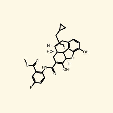 COC(=O)c1cc(F)ccc1NC(=O)C1=C(O)[C@@H]2Oc3c(O)ccc4c3[C@@]23CCN(CC2CC2)[C@H](C4)[C@]3(O)C1